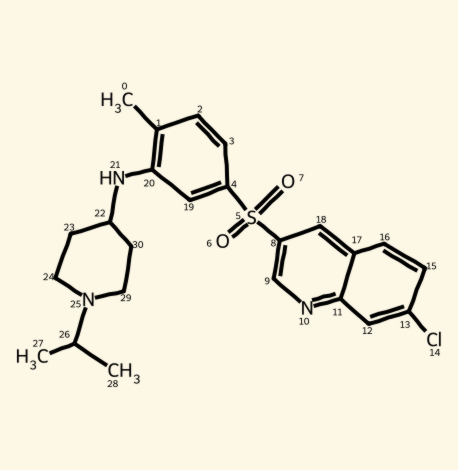 Cc1ccc(S(=O)(=O)c2cnc3cc(Cl)ccc3c2)cc1NC1CCN(C(C)C)CC1